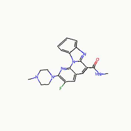 CNC(=O)c1cc2cc(F)c(N3CCN(C)CC3)nc2n2c1nc1ccccc12